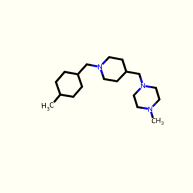 CC1CCC(CN2CCC(CN3CCN(C)CC3)CC2)CC1